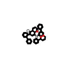 C1=CC2C(N(c3ccccc3C3C=CCCC3)c3cccc4c3oc3ccccc34)=Cc3c(oc4cccc(-c5ccccc5)c34)C2C=C1